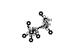 C[C@H](NC(=O)[C@H](CCCCNC(=O)[C@H](F)[C@]1(O)O[C@H](COCc2ccccc2)[C@H](OCc2ccccc2)[C@H](OCc2ccccc2)[C@H]1OCc1ccccc1)NC(=O)OCc1ccccc1)C(=O)N[C@@H](C)C(=O)OCc1ccccc1